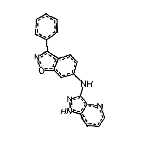 c1ccc(-c2noc3cc(Nc4n[nH]c5cccnc45)ccc23)cc1